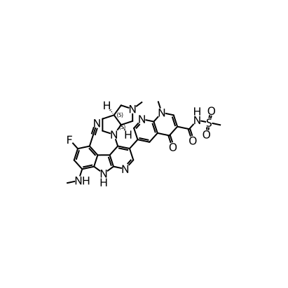 CNc1cc(F)c(C#N)c2c1[nH]c1ncc(-c3cnc4c(c3)c(=O)c(C(=O)NS(C)(=O)=O)cn4C)c(N3CC[C@H]4CN(C)C[C@H]43)c12